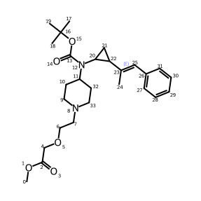 COC(=O)COCCN1CCC(N(C(=O)OC(C)(C)C)C2CC2/C(C)=C/c2ccccc2)CC1